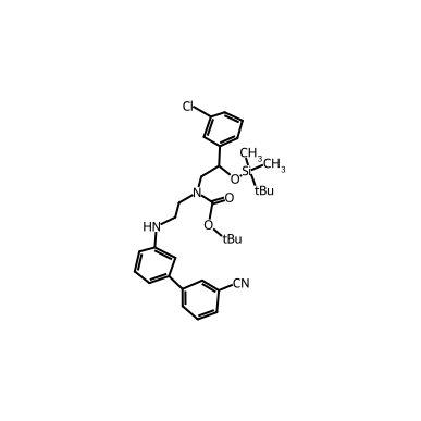 CC(C)(C)OC(=O)N(CCNc1cccc(-c2cccc(C#N)c2)c1)CC(O[Si](C)(C)C(C)(C)C)c1cccc(Cl)c1